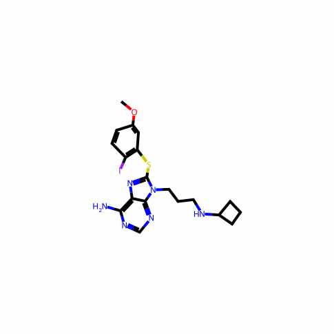 COc1ccc(I)c(Sc2nc3c(N)ncnc3n2CCCNC2CCC2)c1